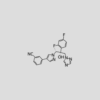 C[C@@H](n1cc(-c2cccc(C#N)c2)cn1)[C@](O)(Cn1cncn1)c1ccc(F)cc1F